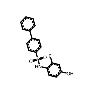 O=S(=O)(Nc1ccc(O)cc1Cl)c1ccc(-c2ccccc2)cc1